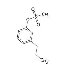 [CH2]CCc1cccc(OS(C)(=O)=O)c1